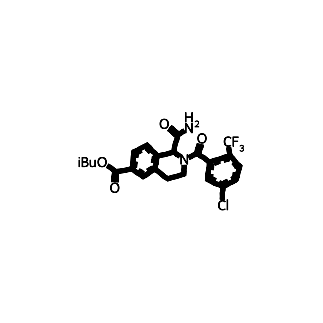 CC(C)COC(=O)c1ccc2c(c1)CCN(C(=O)c1cc(Cl)ccc1C(F)(F)F)C2C(N)=O